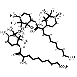 CC(CCCCCCCC(=O)O)C(=O)OC1CCN(C)C(C)(C)C1(C)C.CN1CCC(OC(=O)C(CCCCCCCC(=O)O)C2CCN(C)C(C)(C)C2(C)C)C(C)(C)C1(C)C